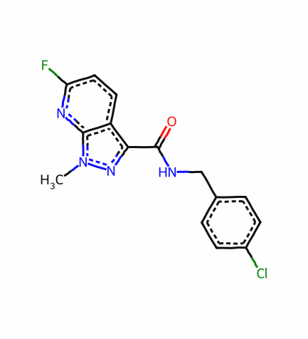 Cn1nc(C(=O)NCc2ccc(Cl)cc2)c2ccc(F)nc21